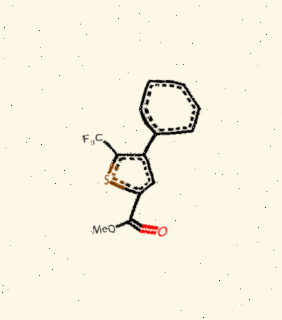 COC(=O)c1[c]c(-c2ccccc2)c(C(F)(F)F)s1